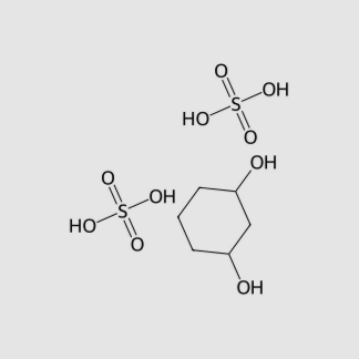 O=S(=O)(O)O.O=S(=O)(O)O.OC1CCCC(O)C1